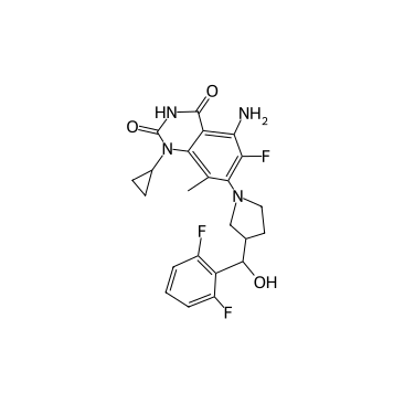 Cc1c(N2CCC(C(O)c3c(F)cccc3F)C2)c(F)c(N)c2c(=O)[nH]c(=O)n(C3CC3)c12